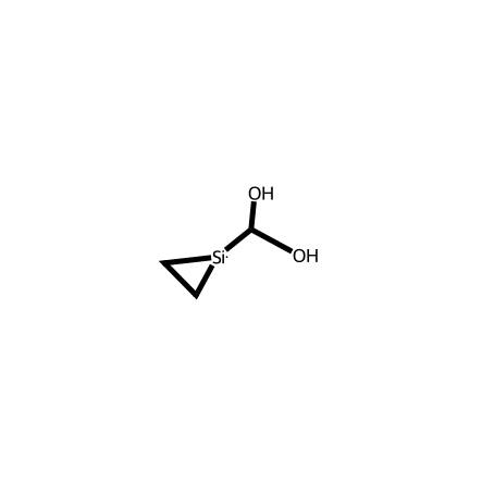 OC(O)[Si]1CC1